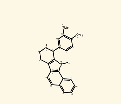 COc1ccc(C2NCCc3c2n(C)c2c3ccc3ccccc32)cc1OC